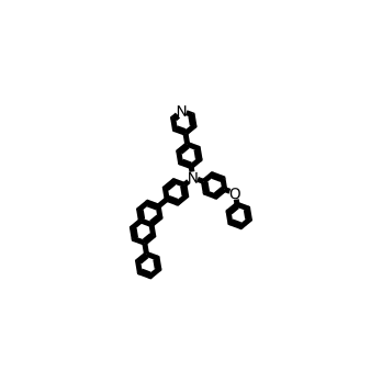 c1ccc(Oc2ccc(N(c3ccc(-c4ccncc4)cc3)c3ccc(-c4ccc5ccc(-c6ccccc6)cc5c4)cc3)cc2)cc1